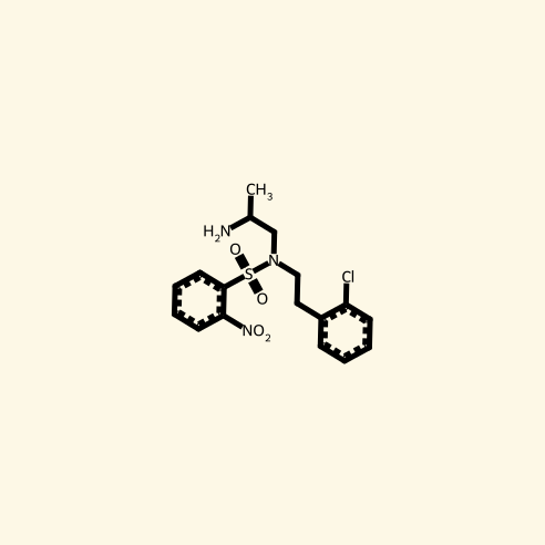 CC(N)CN(CCc1ccccc1Cl)S(=O)(=O)c1ccccc1[N+](=O)[O-]